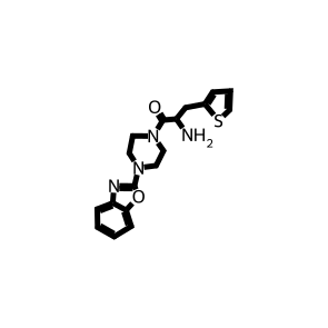 NC(Cc1cccs1)C(=O)N1CCN(c2nc3ccccc3o2)CC1